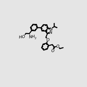 CCOC(=O)Cc1ccccc1OCc1nn(C(C)C)c2ccc(-c3cccc([C@H](N)CO)c3)cc12